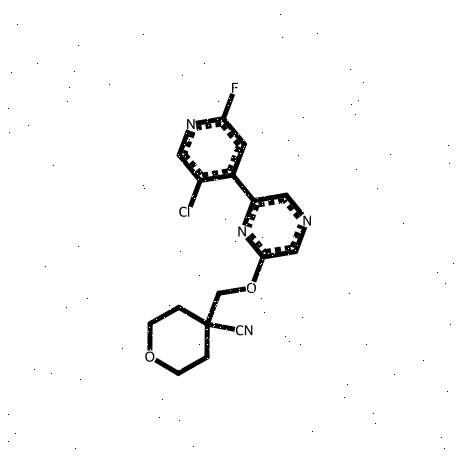 N#CC1(COc2cncc(-c3cc(F)ncc3Cl)n2)CCOCC1